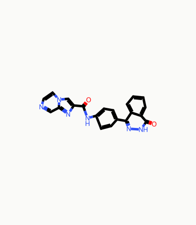 O=C(Nc1ccc(-c2n[nH]c(=O)c3ccccc23)cc1)c1cn2ccncc2n1